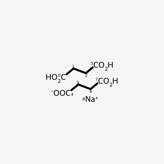 O=C(O)CCC(=O)O.O=C([O-])CCC(=O)O.[Na+]